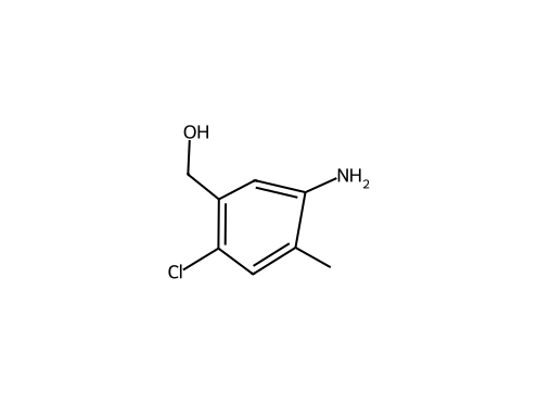 Cc1cc(Cl)c(CO)cc1N